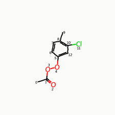 CC(=O)OOc1ccc(C)c(Cl)c1